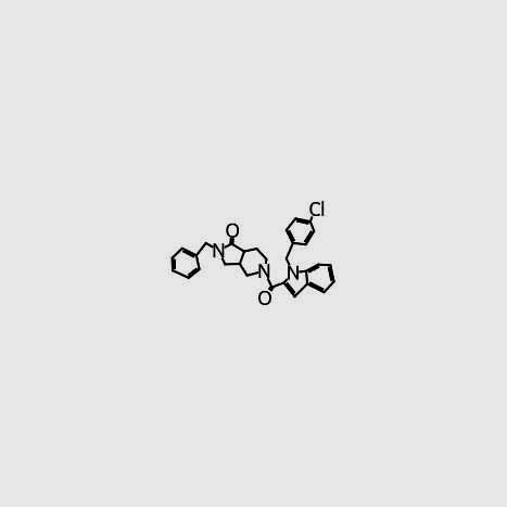 O=C(c1cc2ccccc2n1Cc1ccc(Cl)cc1)N1CCC2C(=O)N(Cc3ccccc3)CC2C1